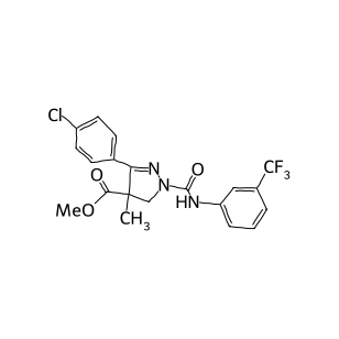 COC(=O)C1(C)CN(C(=O)Nc2cccc(C(F)(F)F)c2)N=C1c1ccc(Cl)cc1